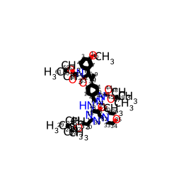 COc1ccc2c(c1)[C@]1(C[C@H]1c1ccc3c(Nc4nc(CCO[Si](C)(C)C(C)(C)C)nc(N5CCOCC5)c4OC)nn(C(=O)OC(C)(C)C)c3c1)C(=O)N2C(=O)OC(C)(C)C